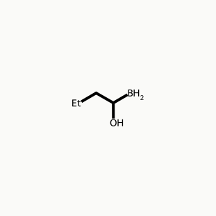 BC(O)CCC